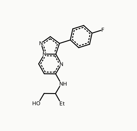 CCC(CO)Nc1ccn2ncc(-c3ccc(F)cc3)c2n1